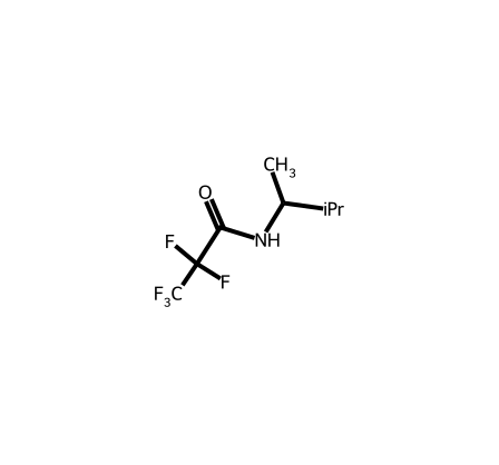 CC(C)C(C)NC(=O)C(F)(F)C(F)(F)F